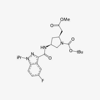 COC(=O)C[C@@H]1C[C@H](NC(=O)c2nn(C(C)C)c3ccc(F)cc23)CN1C(=O)OC(C)(C)C